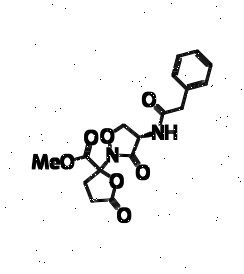 COC(=O)C1(N2OC[C@@H](NC(=O)Cc3ccccc3)C2=O)CCC(=O)O1